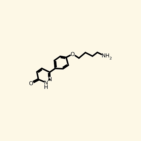 NCCCCOc1ccc(-c2ccc(=O)[nH]n2)cc1